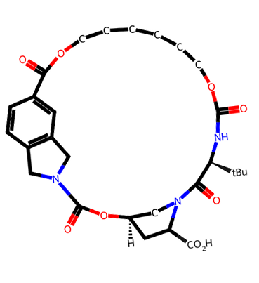 CC(C)(C)[C@@H]1NC(=O)OCCCCCCOC(=O)c2ccc3c(c2)CN(C3)C(=O)O[C@@H]2CC(C(=O)O)N(C2)C1=O